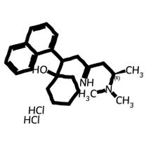 C[C@H](CC(=N)CC(c1cccc2ccccc12)C1(O)CCCCC1)N(C)C.Cl.Cl